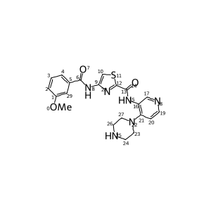 COc1cccc(C(=O)Nc2csc(C(=O)Nc3cnccc3N3CCNCC3)n2)c1